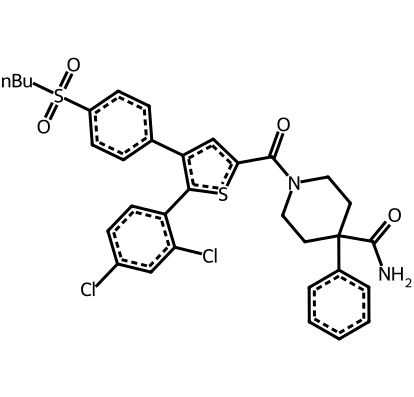 CCCCS(=O)(=O)c1ccc(-c2cc(C(=O)N3CCC(C(N)=O)(c4ccccc4)CC3)sc2-c2ccc(Cl)cc2Cl)cc1